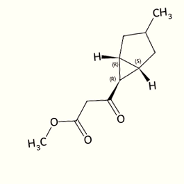 COC(=O)CC(=O)[C@H]1[C@@H]2CC(C)C[C@@H]21